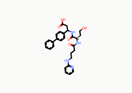 O=C(O)CC(NC(=O)[C@@H](CCO)NC(=O)CCCNc1ccccn1)c1ccc(-c2ccccc2)cc1